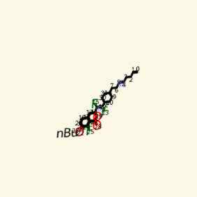 C=CCC/C=C/CCC1CCC(/C(F)=C(\F)c2cc3ccc(OCCCC)c(F)c3c(=O)o2)CC1